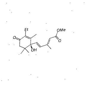 CCC1=C(C)[C@](O)(C=CC(C)=CC(=O)OC)C(C)(C)CC1=O